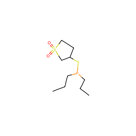 CCCP(CCC)SC1CCS(=O)(=O)C1